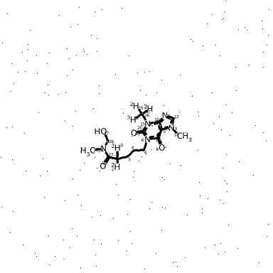 [2H]C([2H])(CCCn1c(=O)c2c(ncn2C)n(C([2H])([2H])[2H])c1=O)C(=O)N(C)CO